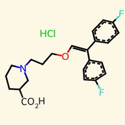 Cl.O=C(O)C1CCCN(CCCOC=C(c2ccc(F)cc2)c2ccc(F)cc2)C1